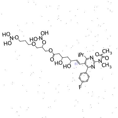 CC(C)c1nc(N(C)S(C)(=O)=O)nc(-c2ccc(F)cc2)c1/C=C/C(O)CC(O)CC(=O)OCC(COCCCON(O)O)ON(O)O